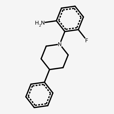 Nc1cccc(F)c1N1CCC(c2ccccc2)CC1